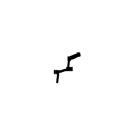 CPNN=O